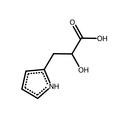 O=C(O)C(O)Cc1ccc[nH]1